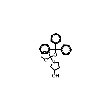 COC(OC)(OC(c1ccccc1)(c1ccccc1)c1ccccc1)N1CCC(O)C1